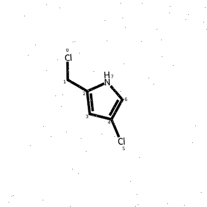 ClCc1cc(Cl)c[nH]1